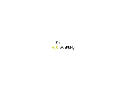 S.[Mn].[PbH2].[Zn]